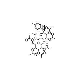 CC(=O)OC[C@H]1O[C@@H](O[C@H]2[C@H](OC(C)=O)[C@@H](OC(C)=O)[C@H](Nc3ccc(C)cc3)O[C@@H]2COC(C)=O)[C@H](OC(C)=O)[C@@H](OC(C)=O)[C@H]1OC(C)=O